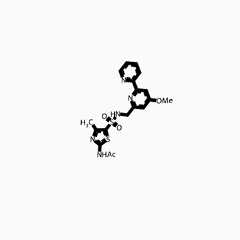 COc1cc(CNS(=O)(=O)c2sc(NC(C)=O)nc2C)nc(-c2ccccn2)c1